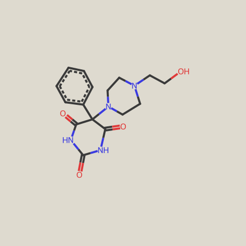 O=C1NC(=O)C(c2ccccc2)(N2CCN(CCO)CC2)C(=O)N1